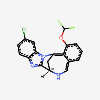 FC(F)Oc1cccc2c1=C1C[C@@H](NC=2)c2nc3ccc(Cl)cc3n21